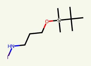 CC(C)(C)[Si](C)(C)OCCCNI